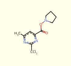 Cc1cc(C(=O)ON2CCCC2)nc(C(Cl)(Cl)Cl)n1